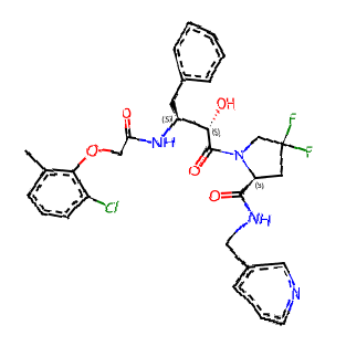 Cc1cccc(Cl)c1OCC(=O)N[C@@H](Cc1ccccc1)[C@H](O)C(=O)N1CC(F)(F)C[C@H]1C(=O)NCc1cccnc1